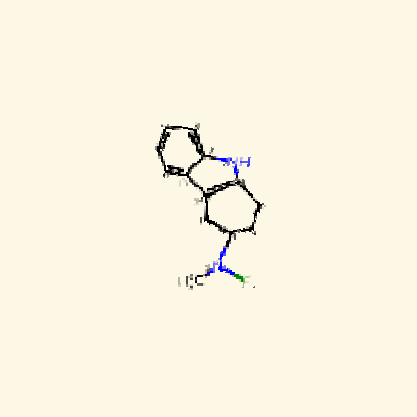 CN(F)C1CCc2[nH]c3ccccc3c2C1